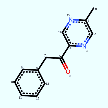 Cc1cnc(C(=O)Cc2ccccc2)cn1